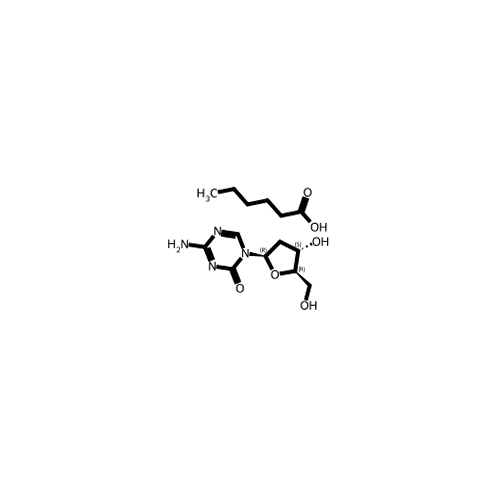 CCCCCC(=O)O.Nc1ncn([C@H]2C[C@H](O)[C@@H](CO)O2)c(=O)n1